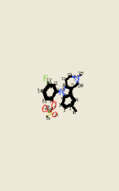 Cc1ccc2c(c1)c1c(n2-c2cc(F)ccc2OS(C)(=O)=O)CCN(C)C1